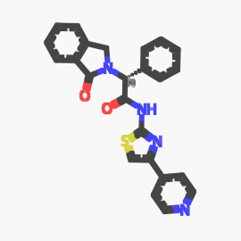 O=C(Nc1nc(-c2ccncc2)cs1)[C@@H](c1ccccc1)N1Cc2ccccc2C1=O